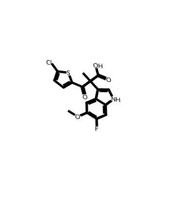 COc1cc2c(C(C)(C(=O)O)C(=O)c3ccc(Cl)s3)c[nH]c2cc1F